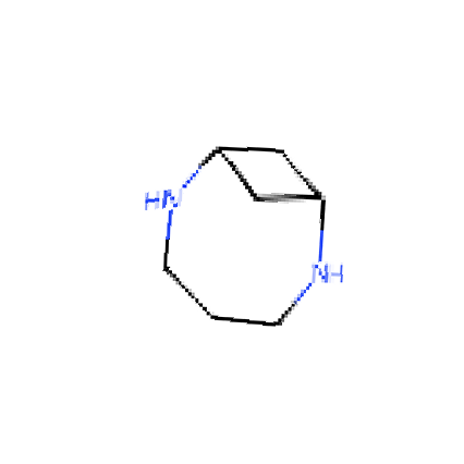 C1CNC2CC(C2)NC1